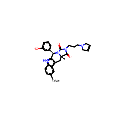 COc1ccc2[nH]c3c(c2c1)C[C@@]1(C)C(=O)N(CCCN2CC=CC2)C(=O)N1[C@@H]3c1cccc(O)c1